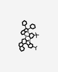 CC(C)c1ccc2c3c4c(ccc5ccccc54)cc4c3n(c2c1)-c1cc(C(C)(C)C)cc2c1B4c1cccc3c(-c4ccccc4)c(-c4ccccc4)n-2c13